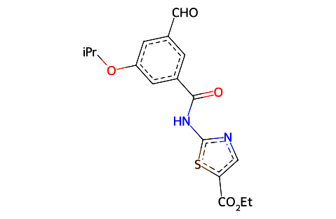 CCOC(=O)c1cnc(NC(=O)c2cc(C=O)cc(OC(C)C)c2)s1